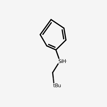 CC(C)(C)C[SiH]c1ccccc1